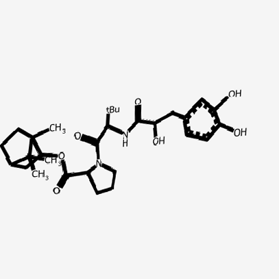 CC(C)(C)C(NC(=O)C(O)Cc1ccc(O)c(O)c1)C(=O)N1CCCC1C(=O)OC1CC2CCC1(C)C2(C)C